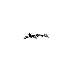 COC[C@H](N)CCCc1cc(Cl)c(F)c(-c2cc3cn(-c4ccc(CNCCCNC(=N)N)cc4)c(=O)nc3[nH]2)c1